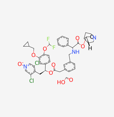 O=C(Cc1cccc(CNC(C(=O)O[C@H]2CN3CCC2CC3)c2ccccc2)c1)O[C@@H](Cc1c(Cl)c[n+]([O-])cc1Cl)c1ccc(OC(F)F)c(OCC2CC2)c1.O=CO